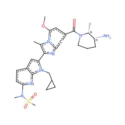 COc1cc(C(=O)N2CCC[C@@H](N)[C@H]2C)cc2nc(-c3cc4ccc(N(C)S(C)(=O)=O)nc4n3CC3CC3)c(C)n12